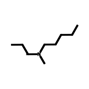 CC[C]N(C)CCCCC